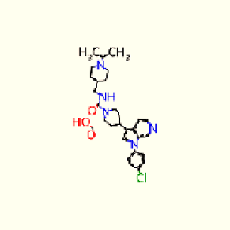 CC(C)N1CCC(CNC(=O)N2CCC(c3cn(-c4ccc(Cl)cc4)c4cnccc34)CC2)CC1.O=CO